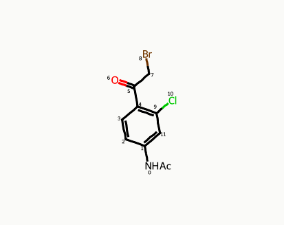 CC(=O)Nc1ccc(C(=O)CBr)c(Cl)c1